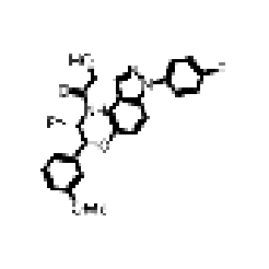 CC[C@H](NC(=O)CO)[C@H](Oc1ccc2c(cnn2-c2ccc(F)cc2)c1)c1cccc(OC)c1